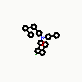 Fc1ccc(-c2ccc(N(c3ccc(-c4ccccc4)cc3)c3ccc(-c4cccc(-c5ccccc5-c5ccccc5)c4)cc3)cc2)c2c(-c3ccccc3)cccc12